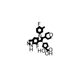 Cc1cc(-n2c(C3CCOCC3)c([C@@H]3CC[C@@](O)(C(=O)O)C3)c3c(F)c4[nH]ncc4cc32)ccc1F